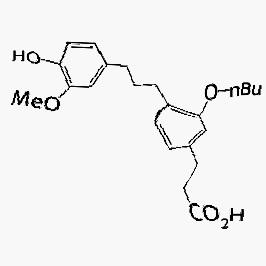 CCCCOc1cc(CCC(=O)O)ccc1CCCc1ccc(O)c(OC)c1